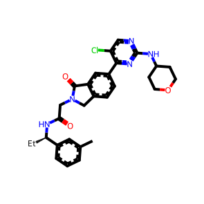 CC[C@@H](NC(=O)CN1Cc2ccc(-c3nc(NC4CCOCC4)ncc3Cl)cc2C1=O)c1cccc(C)c1